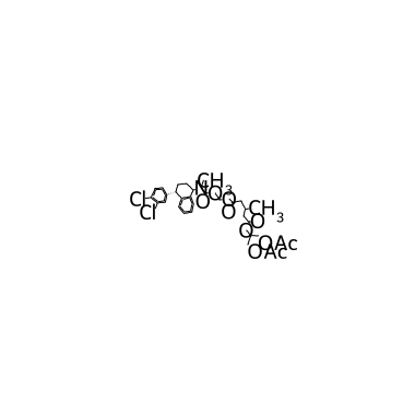 CC(=O)OCC(COC(C)=O)OC(=O)CC(C)CC(=O)OCOC(=O)N(C)C1CC[C@@H](c2ccc(Cl)c(Cl)c2)c2ccccc21